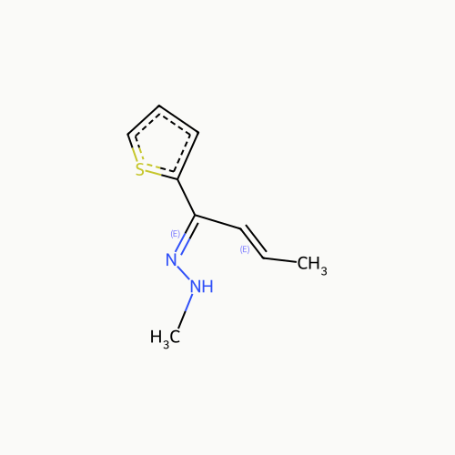 C/C=C/C(=N\NC)c1cccs1